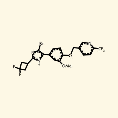 COc1cc(-c2[nH]c(C3CC(F)(F)C3)nc2Br)ccc1OCc1ccc(C(F)(F)F)nc1